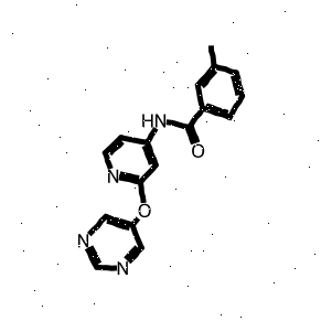 Cc1cccc(C(=O)Nc2ccnc(Oc3cncnc3)c2)c1